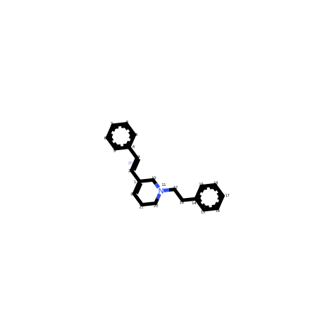 C1=C(/C=C/c2ccccc2)CN(CCc2ccccc2)CC1